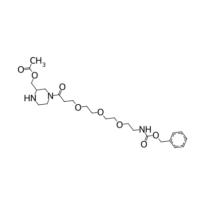 CC(=O)OCC1CN(C(=O)CCOCCOCCOCCNC(=O)OCc2ccccc2)CCN1